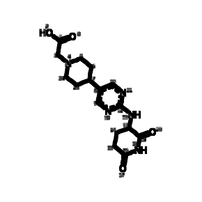 O=C(O)CN1CCC(c2cnc(NC3CCC(=O)NC3=O)nc2)CC1